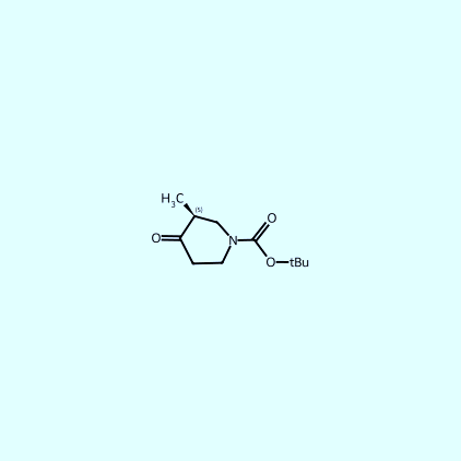 C[C@H]1CN(C(=O)OC(C)(C)C)CCC1=O